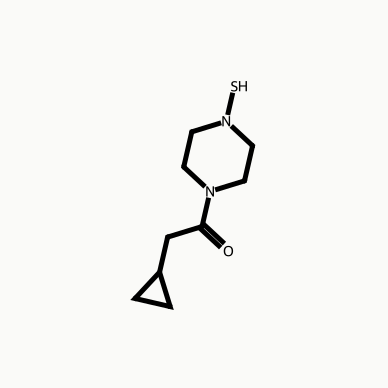 O=C(CC1CC1)N1CCN(S)CC1